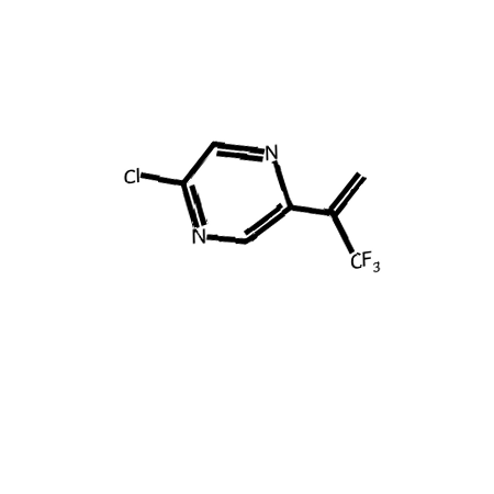 C=C(c1cnc(Cl)cn1)C(F)(F)F